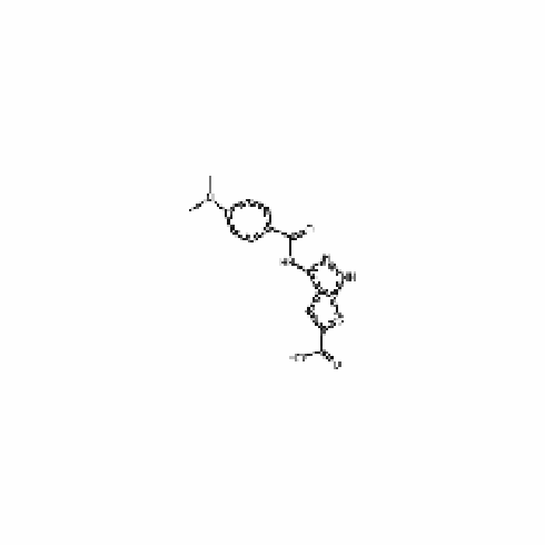 CN(C)c1ccc(C(=O)Nc2n[nH]c3sc(C(=O)O)cc23)cc1